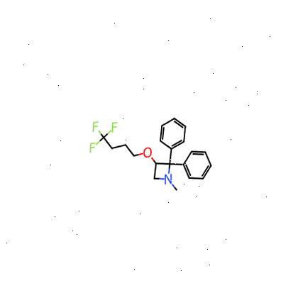 CN1CC(OCCCC(F)(F)F)C1(c1ccccc1)c1ccccc1